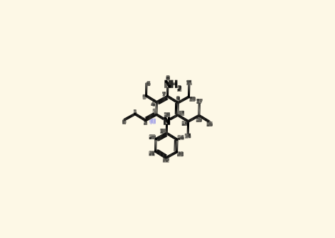 CC/C=C1\C(CC)=C(N)C(CC)=C(C(C)C(C)C)N1c1ccccc1